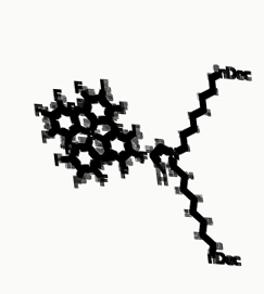 CCCCCCCCCCCCCCCCCCn1cc[nH+]c1CCCCCCCCCCCCCCCCC.Fc1c(F)c(F)c([B-](c2c(F)c(F)c(F)c(F)c2F)(c2c(F)c(F)c(F)c(F)c2F)c2c(F)c(F)c(F)c(F)c2F)c(F)c1F